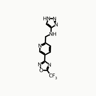 FC(F)(F)c1nc(-c2ccc(CNc3c[nH]nn3)nc2)no1